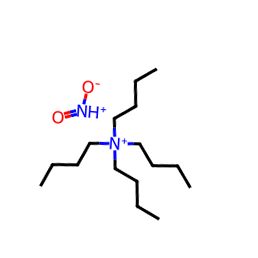 CCCC[N+](CCCC)(CCCC)CCCC.O=[NH+][O-]